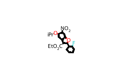 CCOC(=O)c1c(-c2ccccc2F)oc2cc([N+](=O)[O-])c(OC(C)C)cc12